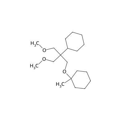 COCC(COC)(COC1(C)CCCCC1)C1CCCCC1